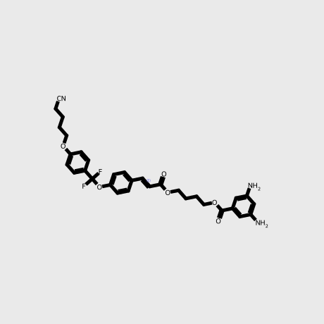 N#CCCCCOc1ccc(C(F)(F)Oc2ccc(/C=C/C(=O)OCCCCOC(=O)c3cc(N)cc(N)c3)cc2)cc1